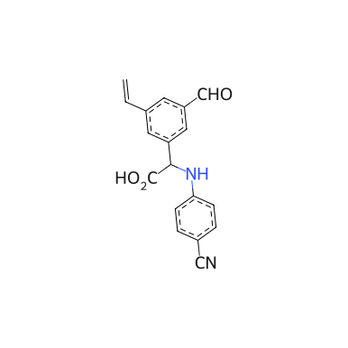 C=Cc1cc(C=O)cc(C(Nc2ccc(C#N)cc2)C(=O)O)c1